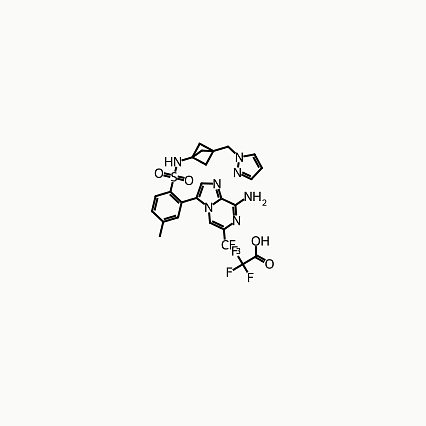 Cc1ccc(S(=O)(=O)NC23CC(Cn4cccn4)(C2)C3)c(-c2cnc3c(N)nc(C(F)(F)F)cn23)c1.O=C(O)C(F)(F)F